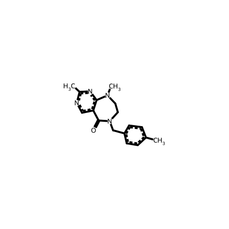 Cc1ccc(CN2CCN(C)c3nc(C)ncc3C2=O)cc1